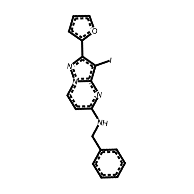 Ic1c(-c2ccco2)nn2ccc(NCc3ccccc3)nc12